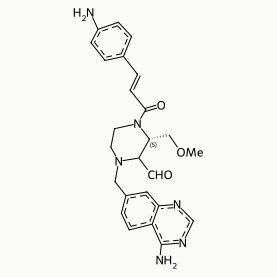 COC[C@@H]1C(C=O)N(Cc2ccc3c(N)ncnc3c2)CCN1C(=O)C=Cc1ccc(N)cc1